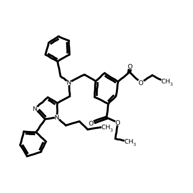 CCCCn1c(CN(Cc2ccccc2)Cc2cc(C(=O)OCC)cc(C(=O)OCC)c2)cnc1-c1ccccc1